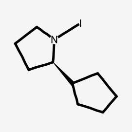 IN1CCC[C@@H]1C1CCCC1